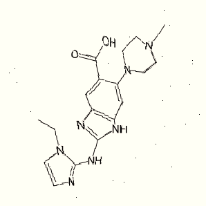 CCn1ccnc1Nc1nc2cc(C(=O)O)c(N3CCN(C)CC3)cc2[nH]1